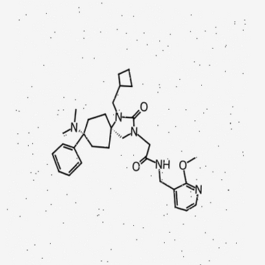 COc1ncccc1CNC(=O)CN1C[C@]2(CC[C@@](c3ccccc3)(N(C)C)CC2)N(CC2CCC2)C1=O